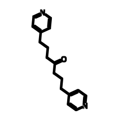 O=C(CCCc1ccncc1)CCCc1ccncc1